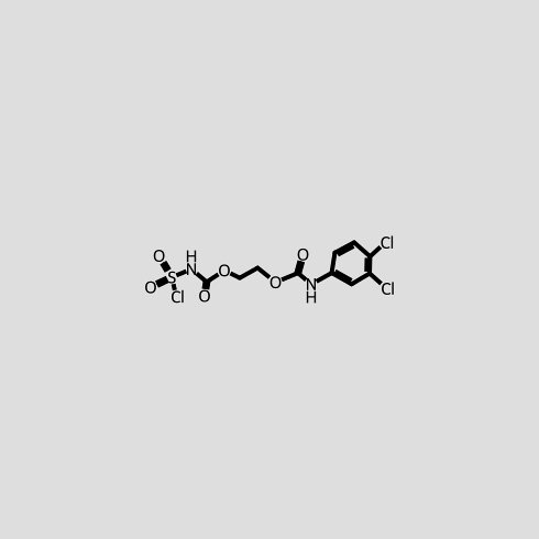 O=C(Nc1ccc(Cl)c(Cl)c1)OCCOC(=O)NS(=O)(=O)Cl